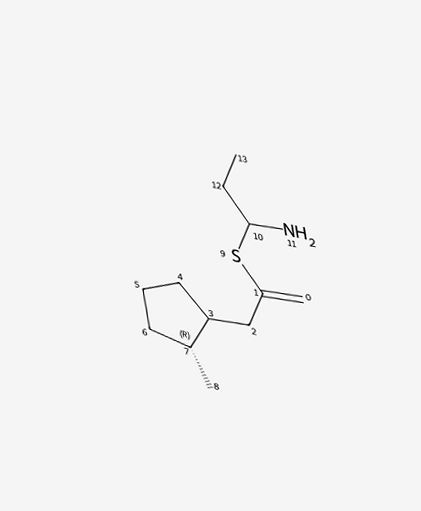 C=C(CC1CCC[C@H]1C)SC(N)CC